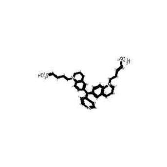 O=S(=O)(O)CCCCN1CCCc2cc(C(c3ccncc3)c3ccc4c(c3)CCCN4CCCCS(=O)(=O)O)ccc21